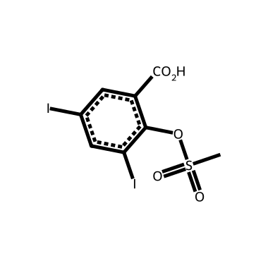 CS(=O)(=O)Oc1c(I)cc(I)cc1C(=O)O